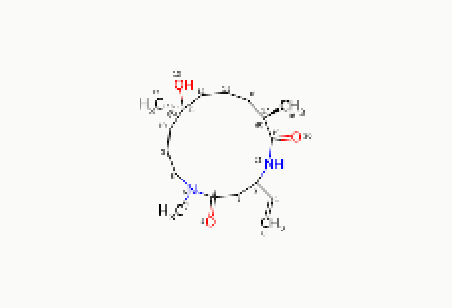 C=CC1CC(=O)N(C)CCC[C@@](C)(O)CCC[C@@H](C)C(=O)N1